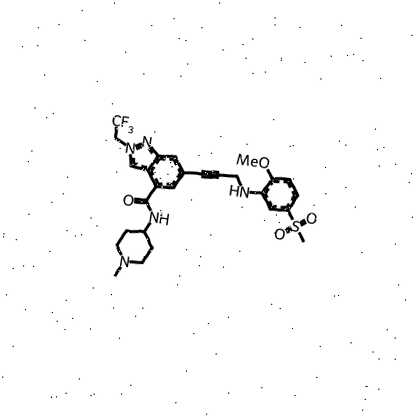 COc1ccc(S(C)(=O)=O)cc1NCC#Cc1cc(C(=O)NC2CCN(C)CC2)c2cn(CC(F)(F)F)nc2c1